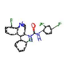 O=C(Nc1ccc(F)cc1F)Nc1cnc2c(F)cccc2c1-c1ccccc1Cl